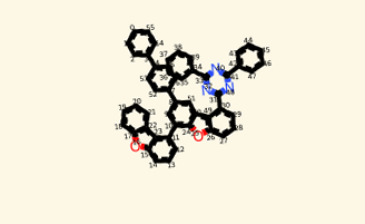 c1ccc(-c2ccc(-c3cc(-c4cccc5oc6ccccc6c45)c4oc5cccc(-c6nc(-c7ccccc7)nc(-c7ccccc7)n6)c5c4c3)cc2)cc1